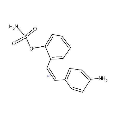 Nc1ccc(/C=C\c2ccccc2OS(N)(=O)=O)cc1